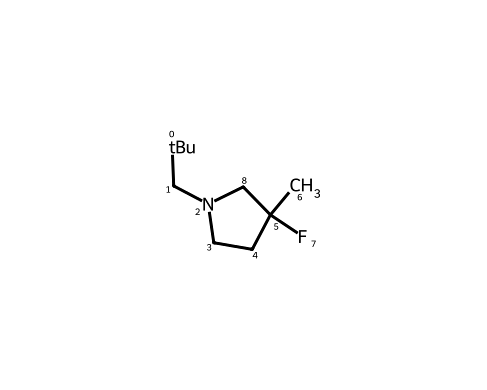 CC(C)(C)CN1CCC(C)(F)C1